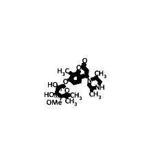 CO[C@@H]1[C@@H](O)[C@@H](O)[C@H](Oc2ccc3c(N4CC(C)NCC4C)cc(=O)oc3c2C)OC1(C)C